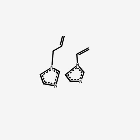 C=CCn1ccnc1.C=Cn1ccnc1